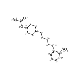 CC(C)(C)C(=O)ON1CCN(CCCCOc2ccccc2[N+](=O)[O-])CC1